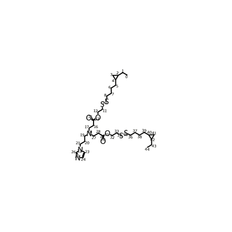 CCC1CC1CCCCSSCCOC(=O)CCN(CCCn1ccnc1)CCC(=O)OCCSSCCCCC1CC1CC